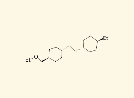 CCOC[C@H]1CC[C@H](CC[C@H]2CC[C@H](CC)CC2)CC1